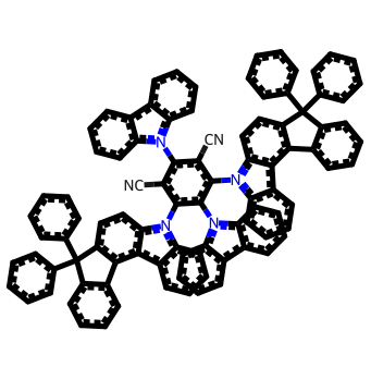 N#Cc1c(-n2c3ccccc3c3ccccc32)c(C#N)c(-n2c3ccccc3c3c4c(ccc32)C(c2ccccc2)(c2ccccc2)c2ccccc2-4)c(-n2c3ccccc3c3ccccc32)c1-n1c2ccccc2c2c3c(ccc21)C(c1ccccc1)(c1ccccc1)c1ccccc1-3